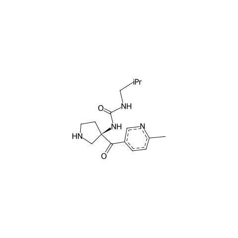 Cc1ccc(C(=O)[C@@]2(NC(=O)NCC(C)C)CCNC2)cn1